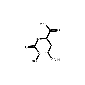 CNC(=O)C(CNC(=O)O)NC(=O)OC(C)(C)C